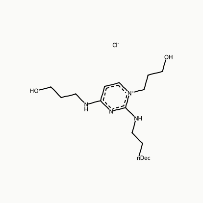 CCCCCCCCCCCCNc1nc(NCCCO)cc[n+]1CCCO.[Cl-]